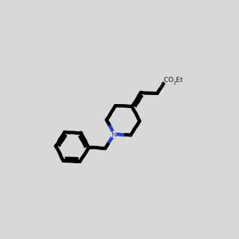 CCOC(=O)CC=C1CCN(Cc2ccccc2)CC1